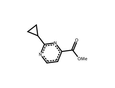 COC(=O)c1ccnc(C2CC2)n1